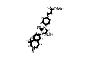 COC(=O)CC[C@H]1CC[C@H](N2CCN(c3ccc4c(c3)CCN(C)CC4(C)C)C2=O)CC1.Cl